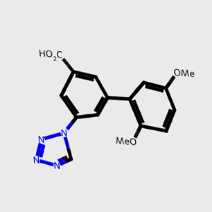 COc1ccc(OC)c(-c2cc(C(=O)O)cc(-n3cnnn3)c2)c1